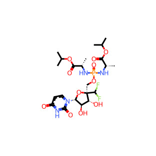 CC(C)OC(=O)[C@H](C)NP(=O)(N[C@@H](C)C(=O)OC(C)C)OC[C@@]1(C(F)F)O[C@@H](n2ccc(=O)[nH]c2=O)[C@H](O)[C@H]1O